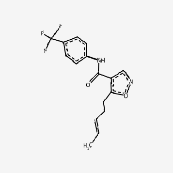 CC=CCCc1oncc1C(=O)Nc1ccc(C(F)(F)F)cc1